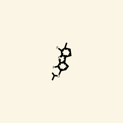 Cc1ccc2c(sc3c(F)c(OC(C)C)ccc32)c1F